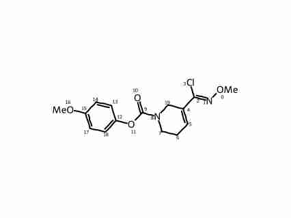 CON=C(Cl)C1=CCCN(C(=O)Oc2ccc(OC)cc2)C1